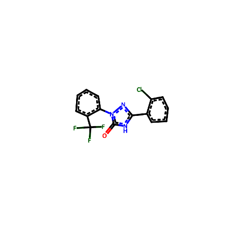 O=c1[nH]c(-c2ccccc2Cl)nn1-c1ccccc1C(F)(F)F